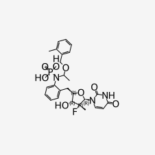 Cc1ccccc1COC(C)N(c1ccccc1C[C@H]1O[C@@H](n2ccc(=O)[nH]c2=O)[C@](C)(F)[C@@H]1O)P(=O)(O)O